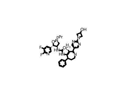 CCCN1C[C@@H](NC(=O)NC2=C(C)C(c3cnc(N4CC(O)C4)nc3)=NCCC2c2ccccc2)[C@H](c2cnc(F)c(F)c2)O1